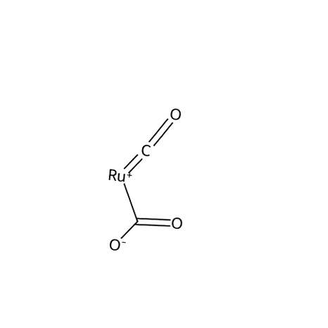 O=[C]=[Ru+][C](=O)[O-]